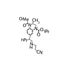 CCCC(CNCCC#N)c1ccc2c(c1)N(C(=O)OC(C)C)C[C@H](C)N2C(=O)OC